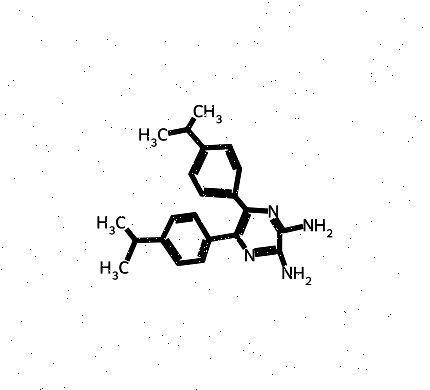 CC(C)c1ccc(-c2nc(N)c(N)nc2-c2ccc(C(C)C)cc2)cc1